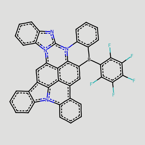 Fc1c(F)c(F)c(B2c3ccccc3-n3c4c2cc2c5ccccc5n5c6ccccc6c6cc(c4c2c65)n2c4ccccc4nc32)c(F)c1F